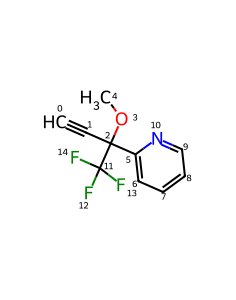 C#CC(OC)(c1ccccn1)C(F)(F)F